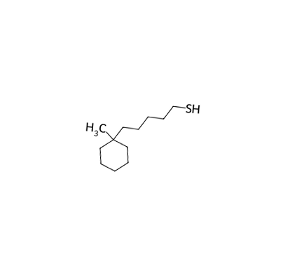 CC1(CCCCCS)CCCCC1